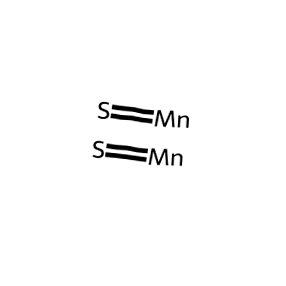 [S]=[Mn].[S]=[Mn]